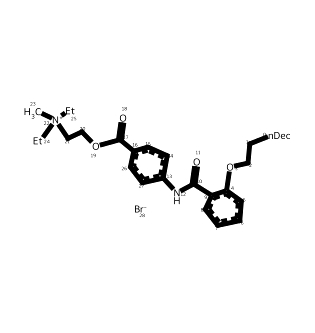 CCCCCCCCCCCCOc1ccccc1C(=O)Nc1ccc(C(=O)OCC[N+](C)(CC)CC)cc1.[Br-]